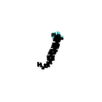 CCCCC1CCC(C2CCC(c3ccc(-c4cc(F)c(F)c(F)c4)cc3)CC2)CC1